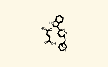 O=C(O)C=CC(=O)O.c1ccc2c(-c3ccc(OC4CN5CCC4CC5)nn3)c[nH]c2c1